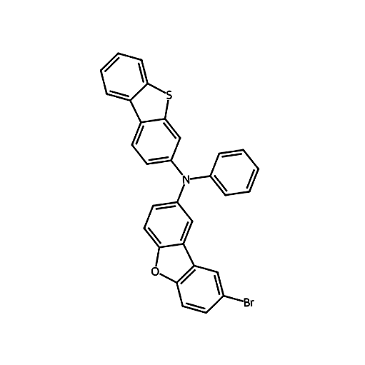 Brc1ccc2oc3ccc(N(c4ccccc4)c4ccc5c(c4)sc4ccccc45)cc3c2c1